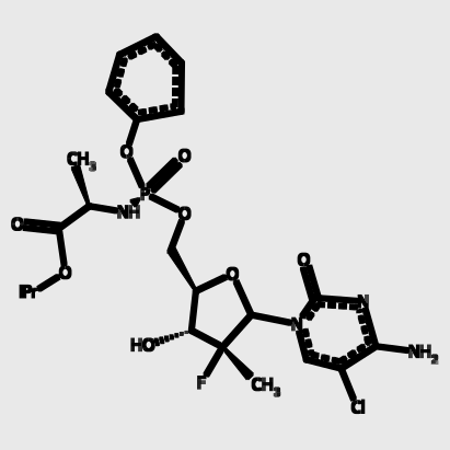 CC(C)OC(=O)[C@@H](C)N[P@@](=O)(OC[C@H]1OC(n2cc(Cl)c(N)nc2=O)[C@](C)(F)[C@@H]1O)Oc1ccccc1